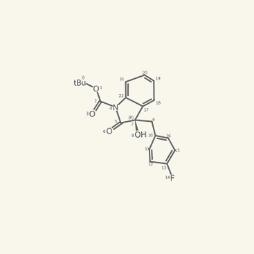 CC(C)(C)OC(=O)N1C(=O)[C@@](O)(Cc2ccc(F)cc2)c2ccccc21